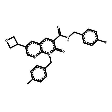 O=C(NCc1ccc(F)cc1)c1cc2cc(C3COC3)cnc2n(Cc2ccc(F)cc2)c1=O